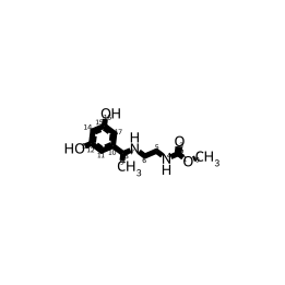 COC(=O)NCCNC(C)c1cc(O)cc(O)c1